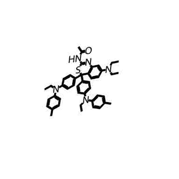 CCN(CC)c1ccc2c(c1)N=C(NC(C)=O)SC2(c1ccc(N(CC)c2ccc(C)cc2)cc1)c1ccc(N(CC)c2ccc(C)cc2)cc1